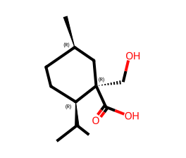 CC(C)[C@H]1CC[C@@H](C)C[C@@]1(CO)C(=O)O